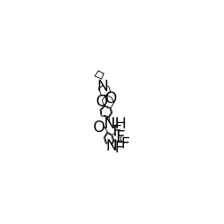 O=C(Nc1ccc2c(c1)COC1(CCN(C3CCC3)CC1)O2)c1ccnc(C(F)(F)F)c1F